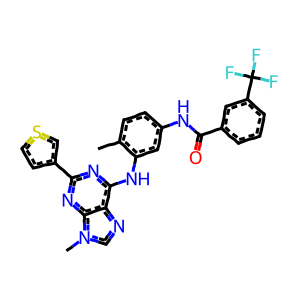 Cc1ccc(NC(=O)c2cccc(C(F)(F)F)c2)cc1Nc1nc(-c2ccsc2)nc2c1ncn2C